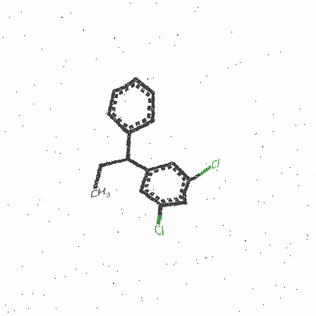 CCC(c1ccccc1)c1cc(Cl)cc(Cl)c1